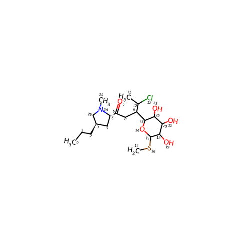 CCC[C@@H]1C[C@@H](C(=O)CC(C(C)Cl)C2OC(SC)C(O)C(O)C2O)N(C)C1